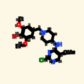 CCOc1cc(CN2CCC(Nc3nc(Cl)ncc3OC)CC2)cc(OCC)c1Br